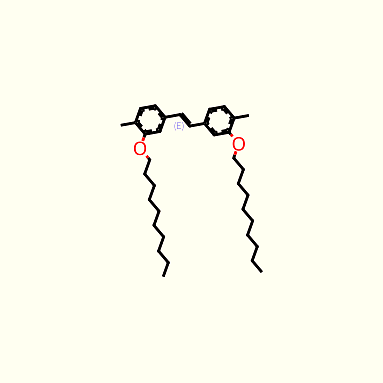 CCCCCCCCCCOc1cc(/C=C/c2ccc(C)c(OCCCCCCCCCC)c2)ccc1C